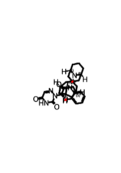 C[C@]12C[C@H]3C[C@@H](N4[C@@H]5CCC[C@H]4C[C@@H](n4c(=O)c(-n6ncc(=O)[nH]c6=O)nc6ccccc64)C5)C[C@@H]1C[C@@H]2C3